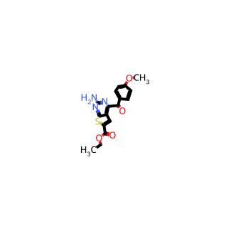 CCOC(=O)c1cc2c(C(=O)c3ccc(OC)cc3)nc(N)nc2s1